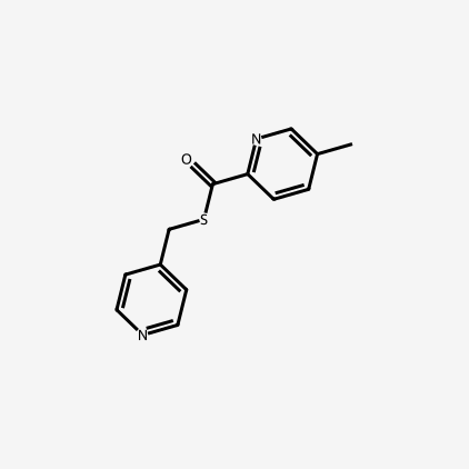 Cc1ccc(C(=O)SCc2ccncc2)nc1